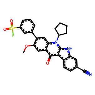 COc1cc2c(=O)c3c4ccc(C#N)cc4[nH]c3n(C3CCCC3)c2cc1-c1cccc(S(=O)(=O)F)c1